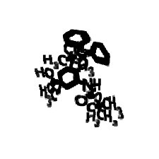 CC[C@@]1(C(=O)O)CC[C@H](O[Si](c2ccccc2)(c2ccccc2)C(C)(C)C)[C@@H](NC(=O)OC(C)(C)C)C1